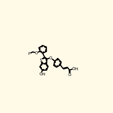 O=C(O)/C=C/c1ccc(Oc2c(-c3ccccc3OCF)sc3cc(O)ccc23)cc1